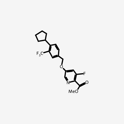 COC(=O)c1ncc(OCc2ccc(C3CCCC3)c(C(F)(F)F)c2)cc1F